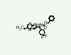 C=Cc1cnc2nc([C@@H](NC(=O)OCc3ccccc3)C3CCC(F)(F)CC3)cn2n1